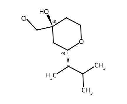 CC(C)C(C)[C@@H]1C[C@](O)(CCl)CCO1